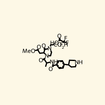 COC(=O)CC1C(=O)N(CC(=O)O)CCN1C(=O)C(C)NC(=O)c1ccc(C2CCNCC2)cc1.O=C(O)C(F)(F)F